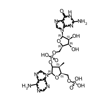 C[C@@H]1C(OP(=O)(O)OC[C@H]2O[C@@H](n3cnc4c(=O)[nH]c(N)nc43)[C@@H](O)[C@H]2O)[C@H](n2cnc3c(N)ncnc32)O[C@@H]1COP(=O)(O)O